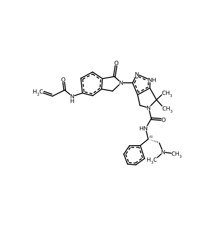 C=CC(=O)Nc1ccc2c(c1)CN(c1n[nH]c3c1CN(C(=O)N[C@H](CN(C)C)c1ccccc1)C3(C)C)C2=O